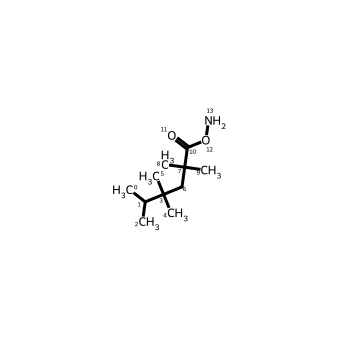 CC(C)C(C)(C)CC(C)(C)C(=O)ON